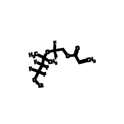 C=CC(=O)OCC(F)(F)OC(C)(C)C(F)(F)C(F)(F)OCC